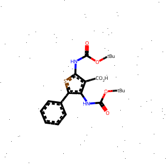 CC(C)(C)OC(=O)Nc1sc(-c2ccccc2)c(NC(=O)OC(C)(C)C)c1C(=O)O